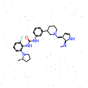 C/N=C1/NC=C/C1=C\N1CCCC(c2cccc(NC(=O)Nc3c(F)cccc3N3CCC[C@H]3C)c2)C1